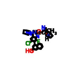 CO[C@@H]1C[C@H]2CC[C@@H](C1)N2C[C@@]1(C)C=NC1COc1nc(N2CC3CCC(C2)N3)c2cc(Cl)c(-c3cc(O)cc4ccccc34)c(F)c2n1